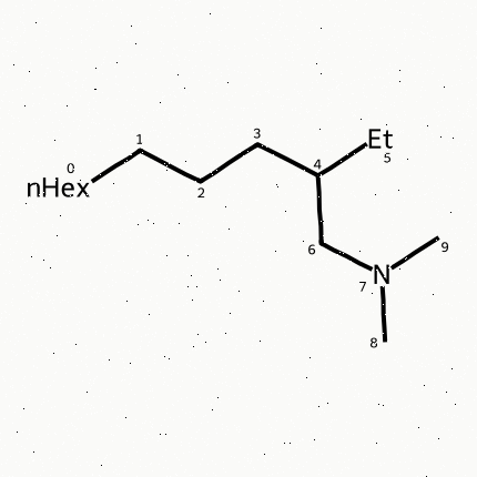 CCCCCCCCCC(CC)CN(C)C